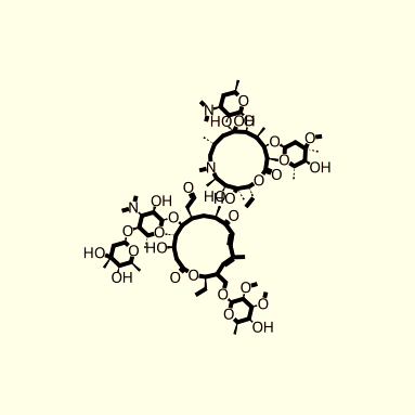 CC[C@H]1OC(=O)C[C@@H](O)[C@H](C)[C@@H](O[C@@H]2O[C@H](C)[C@@H](O[C@H]3C[C@@](C)(O)[C@@H](O)[C@H](C)O3)[C@H](N(C)C)[C@H]2O)[C@@H](CC=O)C[C@@H](C)C(=O)/C=C/C(C)=C/C1CO[C@@H]1O[C@H](C)[C@@H](O)[C@@H](OC)[C@H]1OC.CC[C@H]1OC(=O)[C@H](C)[C@@H](O[C@H]2C[C@@](C)(OC)[C@@H](O)[C@H](C)O2)[C@H](C)[C@@H](O[C@@H]2O[C@H](C)C[C@H](N(C)C)[C@H]2O)[C@](C)(O)C[C@@H](C)CN(C)[C@H](C)[C@@H](O)[C@]1(C)O